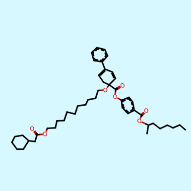 CCCCCCC(C)OC(=O)c1ccc(OC(=O)C2(OCCCCCCCCCCCOC(=O)CC3CCCCC3)C=CC(c3ccccc3)=CC2)cc1